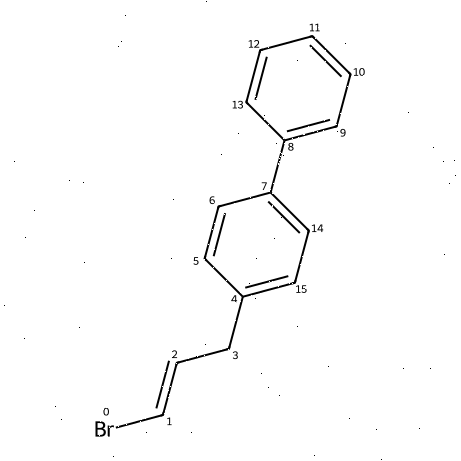 BrC=CCc1ccc(-c2ccccc2)cc1